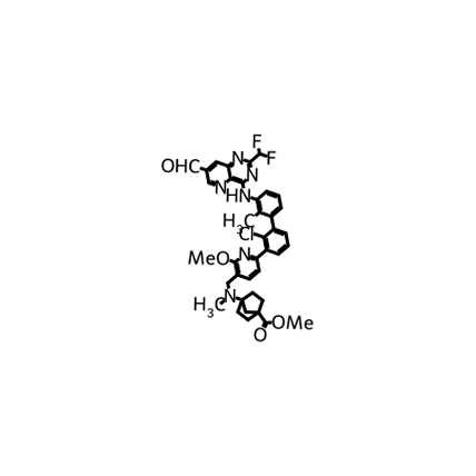 COC(=O)C12CCC(N(C)Cc3ccc(-c4cccc(-c5cccc(Nc6nc(C(F)F)nc7cc(C=O)cnc67)c5C)c4Cl)nc3OC)(CC1)C2